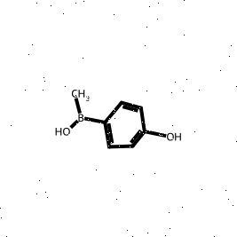 CB(O)c1ccc(O)cc1